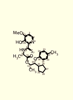 COc1ccnc(C(=S)N[C@@H](C)C(=O)O[C@@H](C)[C@H](Oc2ccc(C)cc2)C2CCCC2)c1O